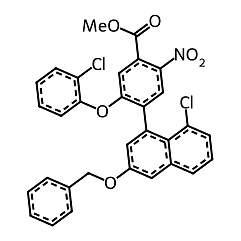 COC(=O)c1cc(Oc2ccccc2Cl)c(-c2cc(OCc3ccccc3)cc3cccc(Cl)c23)cc1[N+](=O)[O-]